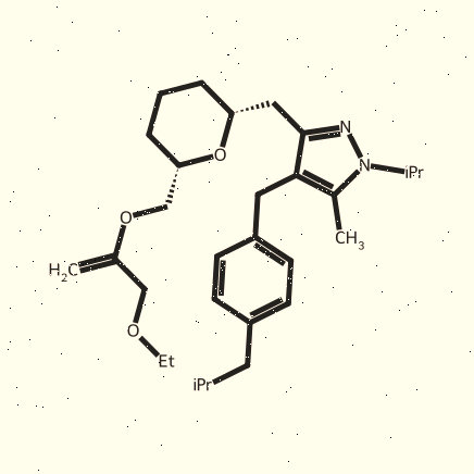 C=C(COCC)OC[C@@H]1CCC[C@H](Cc2nn(C(C)C)c(C)c2Cc2ccc(CC(C)C)cc2)O1